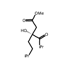 COC(=O)C[C@](O)(CCC(C)C)C(=O)C(C)C